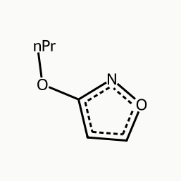 [CH2]CCOc1ccon1